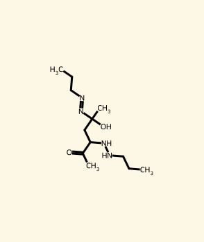 CCCN=NC(C)(O)CC(NNCCC)C(C)=O